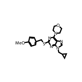 COc1ccc(CSc2nc(N3CCOCC3)c3ncn(CC4CC4)c3n2)cc1